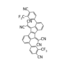 N#CC(C#N)=C1C2=C(C(=C(C#N)C#N)c3c2cccc3-c2ccc(C#N)c(C(F)(F)F)c2)c2cccc(-c3ccc(C#N)c(C(F)(F)F)c3)c21